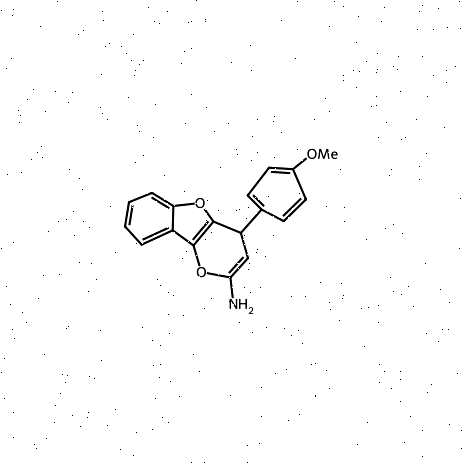 COc1ccc(C2C=C(N)Oc3c2oc2ccccc32)cc1